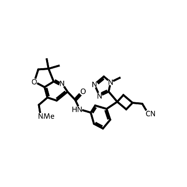 CNCc1cc(C(=O)Nc2cccc(C3(c4nncn4C)CC(CC#N)C3)c2)nc2c1OCC2(C)C